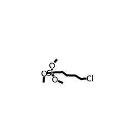 CO[Si](CCCCCl)(OC)OC